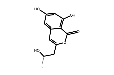 C[C@H](O)Cc1cc2cc(O)cc(O)c2c(=O)o1